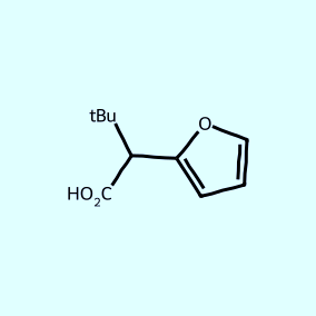 CC(C)(C)C(C(=O)O)c1ccco1